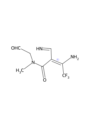 CN(CC=O)C(=O)/C(C=N)=C(/N)C(F)(F)F